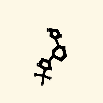 FC(F)(F)c1nc(-c2ccnc(-c3c[nH]cn3)c2)no1